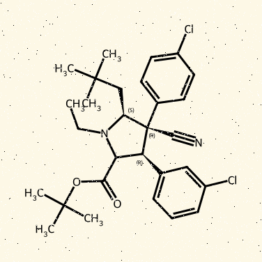 CCN1C(C(=O)OC(C)(C)C)[C@H](c2cccc(Cl)c2)[C@@](C#N)(c2ccc(Cl)cc2)[C@@H]1CC(C)(C)C